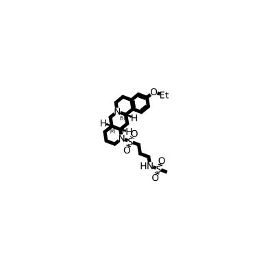 CCOc1ccc2c(c1)CCN1C[C@H]3CCCN(S(=O)(=O)CCCNS(C)(=O)=O)[C@H]3C[C@@H]21